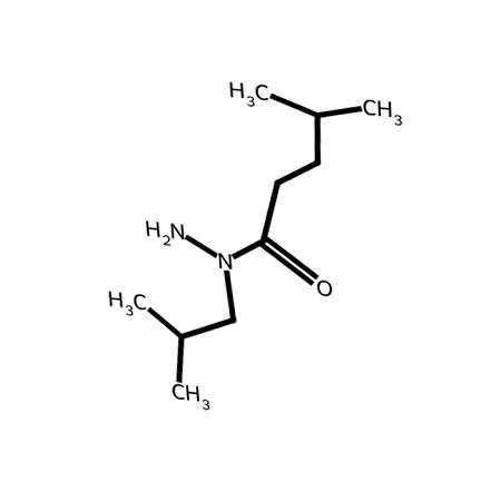 CC(C)CCC(=O)N(N)CC(C)C